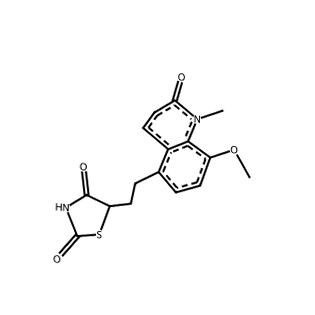 COc1ccc(CCC2SC(=O)NC2=O)c2ccc(=O)n(C)c12